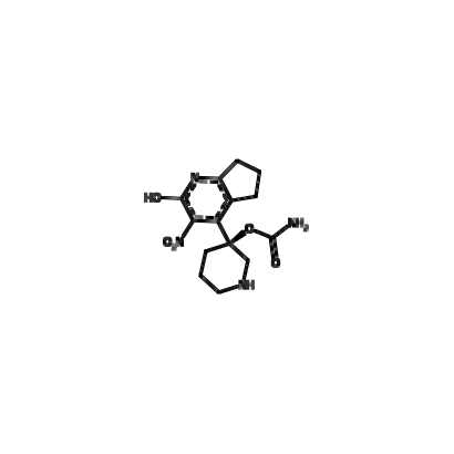 NC(=O)O[C@]1(c2c3c(nc(O)c2[N+](=O)[O-])CCC3)CCCNC1